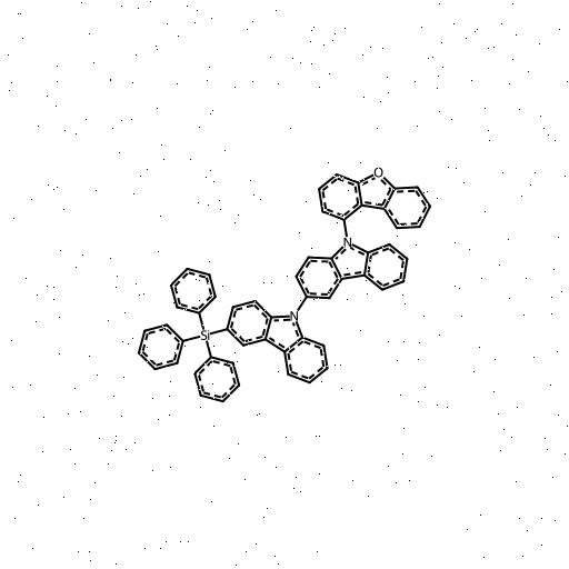 c1ccc([Si](c2ccccc2)(c2ccccc2)c2ccc3c(c2)c2ccccc2n3-c2ccc3c(c2)c2ccccc2n3-c2cccc3oc4ccccc4c23)cc1